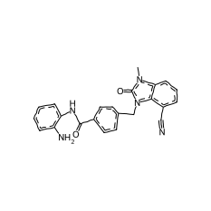 Cn1c(=O)n(Cc2ccc(C(=O)Nc3ccccc3N)cc2)c2c(C#N)cccc21